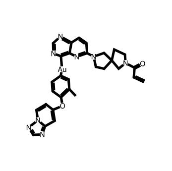 C=CC(=O)N1CCC2(CCN(c3ccc4ncn[c]([Au][c]5ccc(Oc6ccn7ncnc7c6)c(C)c5)c4n3)C2)C1